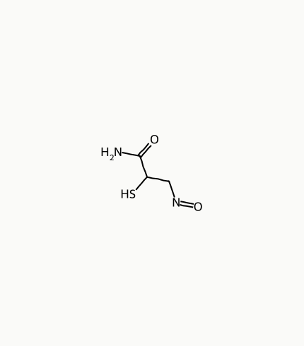 NC(=O)C(S)CN=O